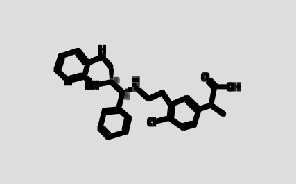 CC(C(=O)O)c1ccc(Cl)c(CCN[C@H](c2ccccc2)[C@H]2CNc3cccnc3N2)c1